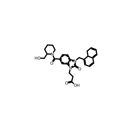 O=C(O)CCn1c(=O)n(CC2=CC=CC3=CC=CCC32)c2ccc(C(=O)N3CCCCC3CO)cc21